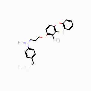 CCCc1c(OCCCN(CC)c2ccc(CC(=O)O)cc2)ccc(Oc2ccccc2)c1Cl